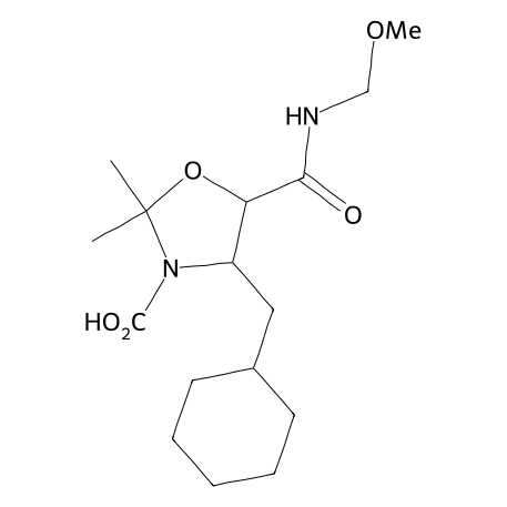 COCNC(=O)C1OC(C)(C)N(C(=O)O)C1CC1CCCCC1